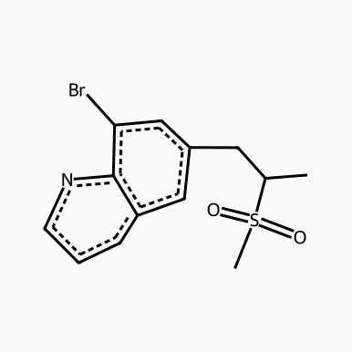 CC(Cc1cc(Br)c2ncccc2c1)S(C)(=O)=O